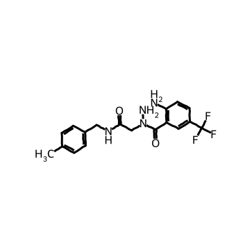 Cc1ccc(CNC(=O)CN(N)C(=O)c2cc(C(F)(F)F)ccc2N)cc1